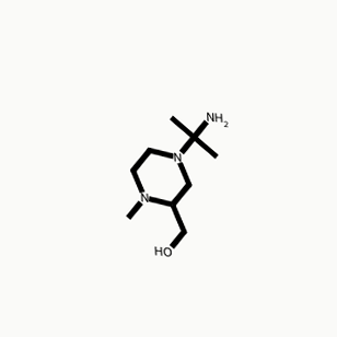 CN1CCN(C(C)(C)N)CC1CO